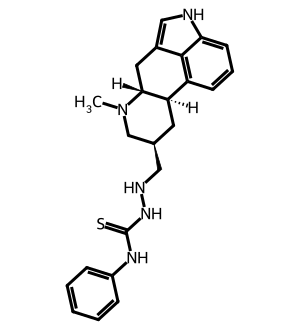 CN1C[C@H](CNNC(=S)Nc2ccccc2)C[C@@H]2c3cccc4[nH]cc(c34)C[C@H]21